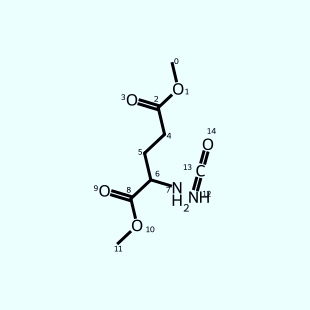 COC(=O)CCC(N)C(=O)OC.N=C=O